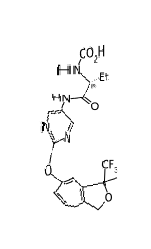 CC[C@@H](NC(=O)O)C(=O)Nc1cnc(Oc2ccc3c(c2)C(C)(C(F)(F)F)OC3)nc1